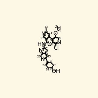 [2H]COc1cnc(Cl)cc1-c1cc(C)ncc1C(=O)Nc1nc2cnc(C3=CCC(O)CC3)cc2s1